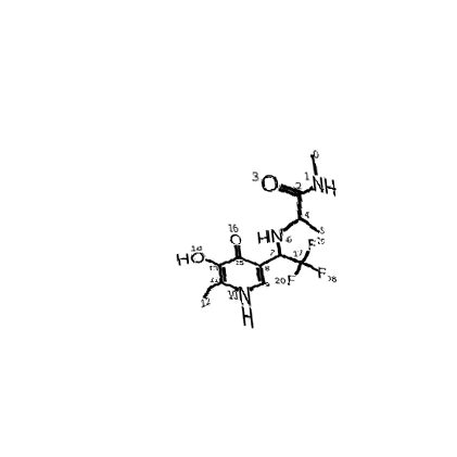 CNC(=O)C(C)NC(c1c[nH]c(C)c(O)c1=O)C(F)(F)F